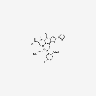 CCNC(=O)[C@H](C)n1c(=O)c2c(C)c(-n3cccn3)sc2n(C[C@H](OCCC#N)c2cc(F)ccc2OC)c1=O